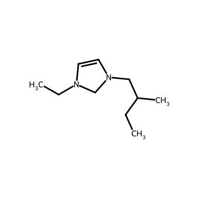 CCC(C)CN1C=CN(CC)C1